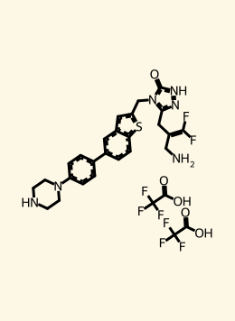 NCC(Cc1n[nH]c(=O)n1Cc1cc2cc(-c3ccc(N4CCNCC4)cc3)ccc2s1)=C(F)F.O=C(O)C(F)(F)F.O=C(O)C(F)(F)F